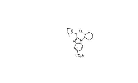 CCC1CCCCC1n1c(Cc2cccs2)nc2cc(C(=O)O)ccc21